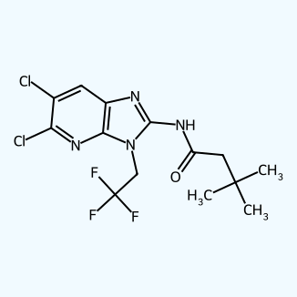 CC(C)(C)CC(=O)Nc1nc2cc(Cl)c(Cl)nc2n1CC(F)(F)F